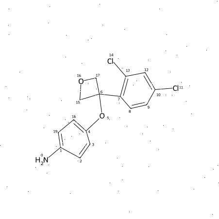 Nc1ccc(OC2(c3ccc(Cl)cc3Cl)COC2)cc1